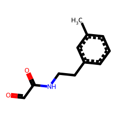 Cc1cccc(CCNC(=O)C=O)c1